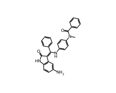 CN(C(=O)c1ccccc1)c1ccc(NC(=C2C(=O)Nc3ccc(N)cc32)c2ccccc2)cc1